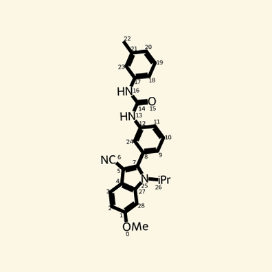 COc1ccc2c(C#N)c(-c3cccc(NC(=O)Nc4cccc(C)c4)c3)n(C(C)C)c2c1